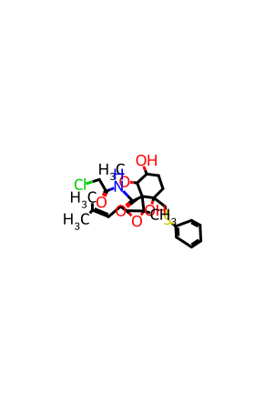 COC1C(O)CCC(O)(CSc2ccccc2)C1(C(=O)NC(=O)CCl)C1(C)OC1CC=C(C)C